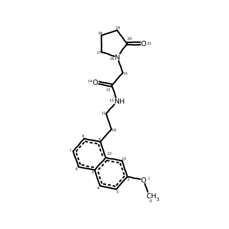 COc1ccc2cccc(CCNC(=O)CN3CCCC3=O)c2c1